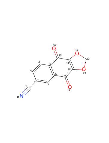 N#Cc1ccc2c(c1)C(=O)C1=C(OCO1)C2=O